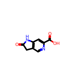 O=C1Cc2cnc(C(=O)O)cc2N1